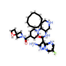 Nc1nn2cc(F)cnc2c1C(=O)NC1CNCC2(CCCCCCCCC2)C1N1CCC(C(=O)N2CC3(CCO3)C2)CC1